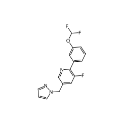 Fc1cc(Cn2cccn2)cnc1-c1cccc(OC(F)F)c1